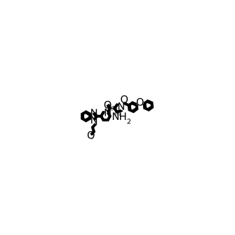 COCCCn1c(C2CCCN(C(=O)[C@@H]3CN(C(=O)c4cccc(Oc5ccccc5)c4)C[C@H]3N)C2)nc2ccccc21